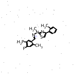 Cc1cc(F)c(P)cc1/C=N/N(C)c1nc(-c2ccccc2C)cs1